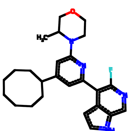 CC1COCCN1c1cc(C2CCCCCCC2)cc(-c2c(F)ncc3[nH]ccc23)n1